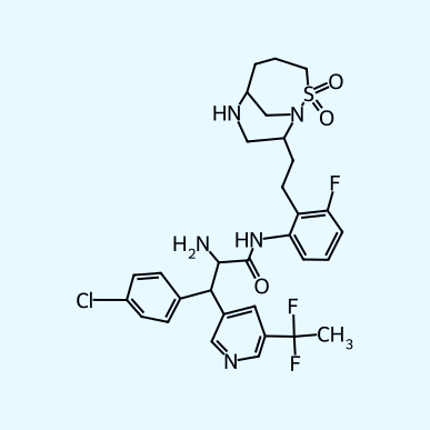 CC(F)(F)c1cncc(C(c2ccc(Cl)cc2)C(N)C(=O)Nc2cccc(F)c2CCC2CNC3CCCS(=O)(=O)N2C3)c1